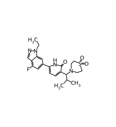 CCn1ncc2c(F)cc(-c3ccc(C(C(C)C)N4CCS(=O)(=O)CC4)c(=O)[nH]3)cc21